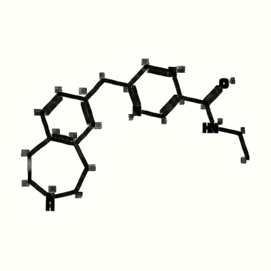 CCNC(=O)c1cnc(Cc2ccc3c(c2)CCNCC3)cn1